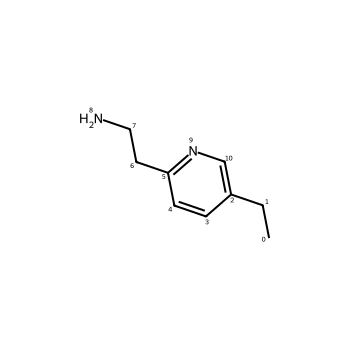 CCc1ccc(CCN)nc1